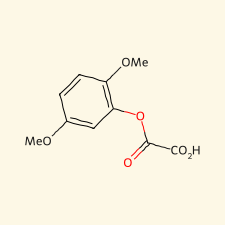 COc1ccc(OC)c(OC(=O)C(=O)O)c1